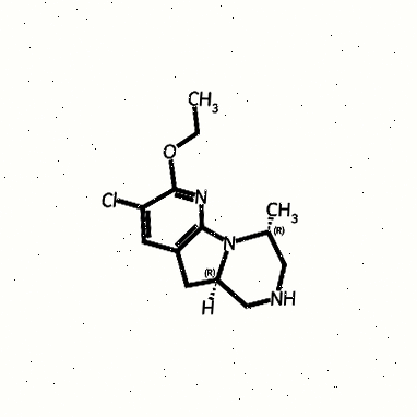 CCOc1nc2c(cc1Cl)C[C@@H]1CNC[C@@H](C)N21